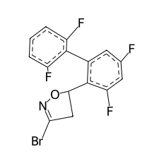 Fc1cc(F)c(C2CC(Br)=NO2)c(-c2c(F)cccc2F)c1